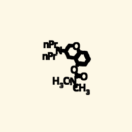 CCCN(CCC)C1COc2cccc(OC(=O)N(C)C)c2C1